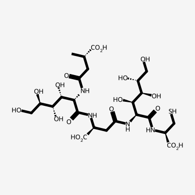 C[C@@H](CC(=O)N[C@H](C(=O)N[C@@H](CC(=O)N[C@H](C(=O)N[C@@H](CS)C(=O)O)[C@@H](O)[C@H](O)[C@H](O)CO)C(=O)O)[C@@H](O)[C@H](O)[C@H](O)CO)C(=O)O